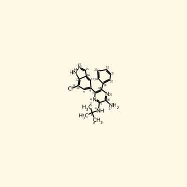 CC(C)(C)Nc1nc(-c2cc(Cl)c3[nH]ncc3c2)c(-c2ccccc2)nc1N